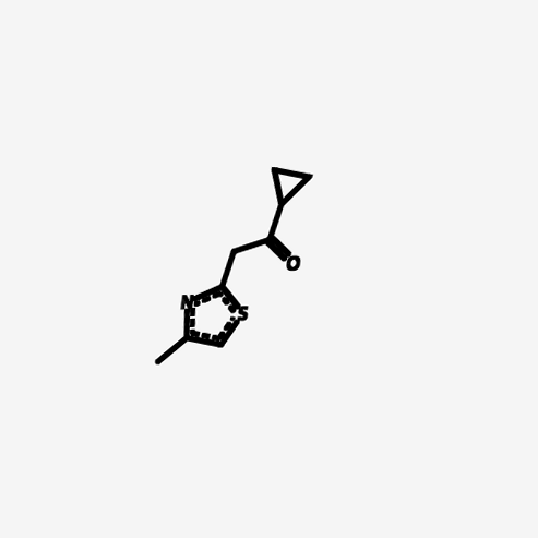 Cc1csc(CC(=O)C2CC2)n1